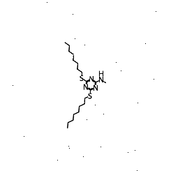 CCCCCCCCSc1nc(NC)nc(SCCCCCCCC)n1